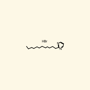 Br.CCCCCCCCCCCCc1ncccn1